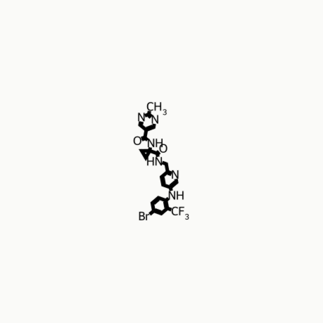 Cc1ncc(C(=O)NC2(C(=O)NCc3ccc(Nc4ccc(Br)cc4C(F)(F)F)cn3)CC2)cn1